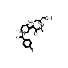 C[C@@H]1Cc2nn3c(c2CN1C(=O)c1ccc(I)cc1)C(=O)N(C)O[C@H](CO)C3